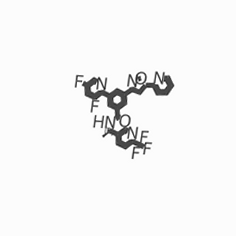 C[C@@H](NC(=O)c1cc(C2=NOC(c3ccccn3)C2)cc(-c2ncc(F)cc2F)c1)c1ccc(C(F)(F)F)nc1